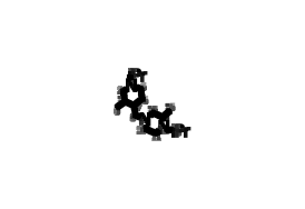 CC1CN(C(C)C)CCC1CN1CCN(C(C)C)C(C)C1